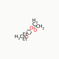 C=C(C)C(=O)Oc1ccc(OC(C)(CC)CC)cc1